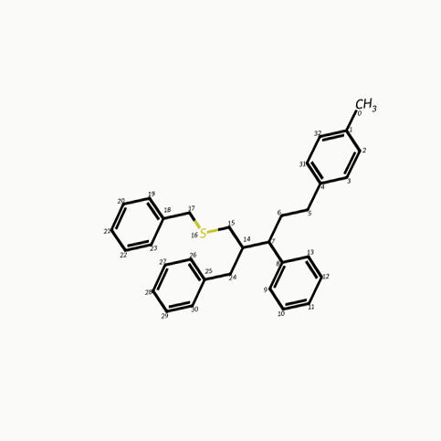 Cc1ccc(CCC(c2ccccc2)C(CSCc2ccccc2)Cc2ccccc2)cc1